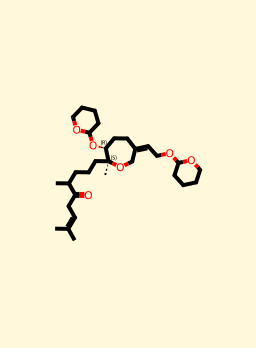 CC(C)=CCC(=O)C(C)CCC[C@]1(C)OCC(=CCOC2CCCCO2)CC[C@H]1OC1CCCCO1